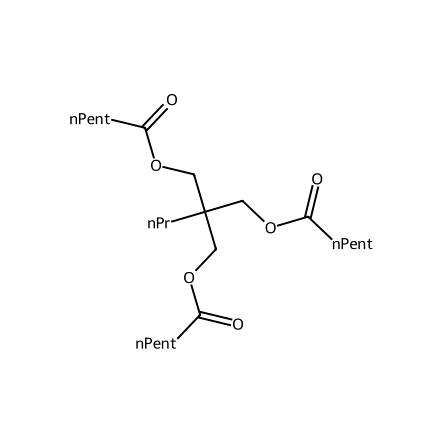 CCCCCC(=O)OCC(CCC)(COC(=O)CCCCC)COC(=O)CCCCC